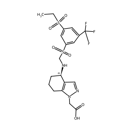 CCS(=O)(=O)c1cc(C(F)(F)F)cc(S(=O)(=O)CN[C@@H]2CCCc3c2cnn3CC(=O)O)c1